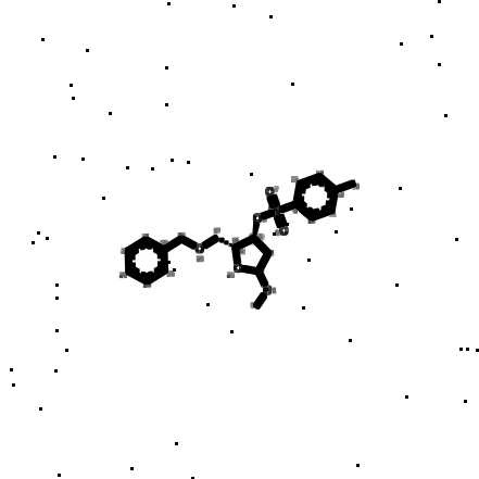 COC1C[C@H](OS(=O)(=O)c2ccc(C)cc2)[C@@H](COCc2ccccc2)O1